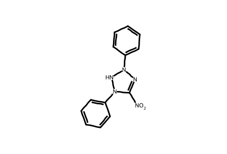 O=[N+]([O-])C1=NN(c2ccccc2)NN1c1ccccc1